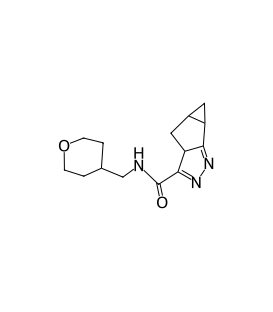 O=C(NCC1CCOCC1)C1=NN=C2C1CC1CC21